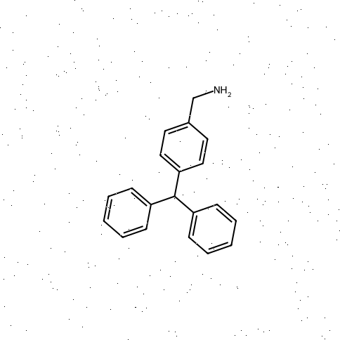 NCc1ccc([C](c2ccccc2)c2ccccc2)cc1